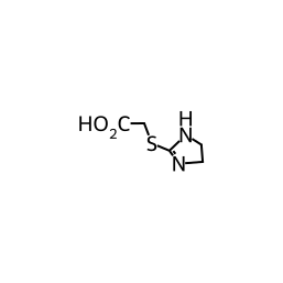 O=C(O)CSC1=NCCN1